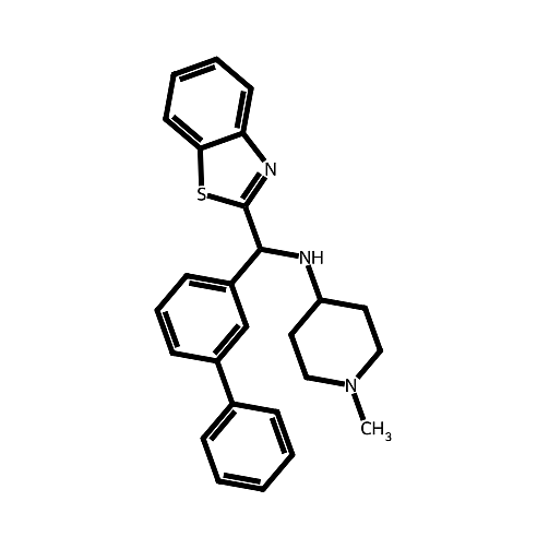 CN1CCC(NC(c2cccc(-c3ccccc3)c2)c2nc3ccccc3s2)CC1